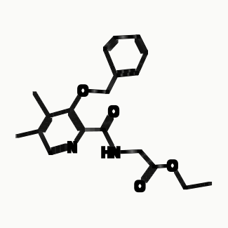 CCOC(=O)CNC(=O)c1ncc(C)c(C)c1OCc1ccccc1